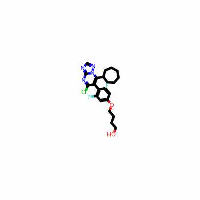 OCCCCOc1cc(F)c(-c2c(Cl)nc3ncnn3c2C2CCCCCC2)c(F)c1